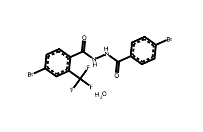 O.O=C(NNC(=O)c1ccc(Br)cc1C(F)(F)F)c1ccc(Br)cc1